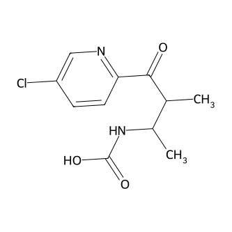 CC(NC(=O)O)C(C)C(=O)c1ccc(Cl)cn1